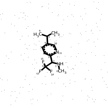 CNC(c1ccc(C(C)C)cn1)C(F)(F)F